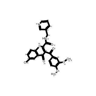 COc1ccc(C(=O)c2c(C(=O)NCc3cccnc3)oc3ccc(Cl)cc3c2=O)cc1OC